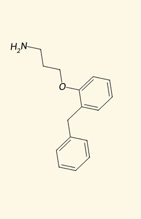 NCCCOc1ccccc1Cc1ccccc1